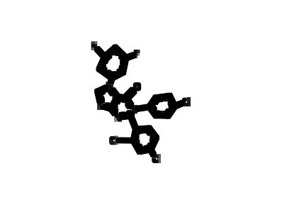 O=c1c2c(ncn2-c2cc(F)cc(F)c2)nc(-c2ccc(Cl)cc2Cl)n1-c1ccc(Cl)cc1